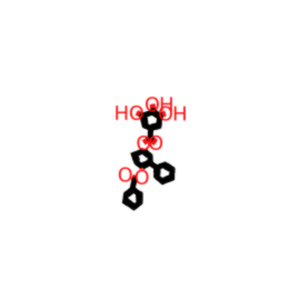 O=C(Oc1ccc(OC(=O)c2ccccc2)c(-c2ccccc2)c1)c1cc(O)c(O)c(O)c1